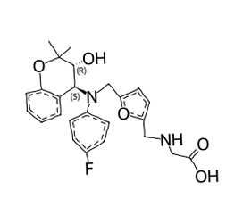 CC1(C)Oc2ccccc2[C@H](N(Cc2ccc(CNCC(=O)O)o2)c2ccc(F)cc2)[C@H]1O